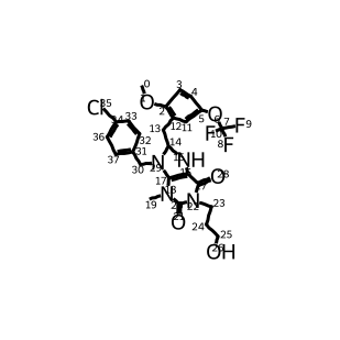 COc1ccc(OC(F)(F)F)cc1CC1Nc2c(n(C)c(=O)n(CCCO)c2=O)N1Cc1ccc(Cl)cc1